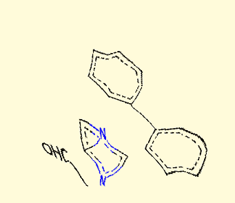 CC=O.c1ccc(-c2ccccc2)cc1.c1nc2cn1-2